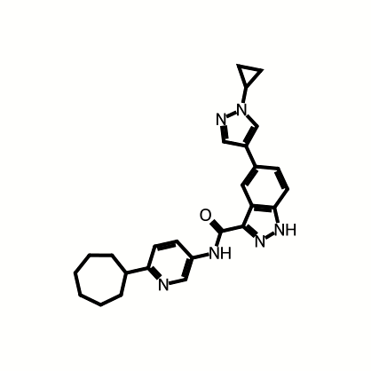 O=C(Nc1ccc(C2CCCCCC2)nc1)c1n[nH]c2ccc(-c3cnn(C4CC4)c3)cc12